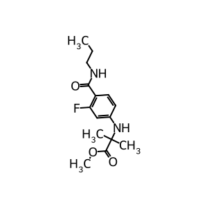 CCCNC(=O)c1ccc(NC(C)(C)C(=O)OC)cc1F